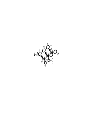 O=NO.O=N[O-].O=[N+]([O-])[O-].[N+2]